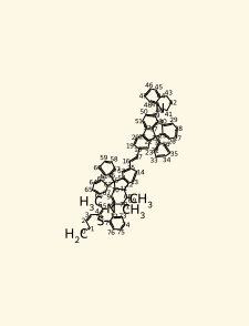 C=C/C=C\C1=C(C)N(C2=CC3C(c4ccc(/C=C/c5ccc6c(c5)C(c5ccccc5)(c5ccccc5)c5cc(N7CCCc8ccccc87)ccc5-6)cc4C3(c3ccccc3)C3C=CC=CC3)C(C)C2C)c2ccccc2S1